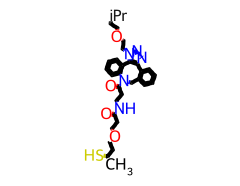 CC(C)CCOCCn1nnc2c1-c1ccccc1N(C(=O)CCNC(=O)CCOCCC(C)S)Cc1ccccc1-2